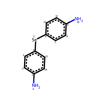 Nc1ccc([Se]c2ccc(N)cc2)cc1